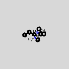 CN1c2ccccc2B2c3cc4c(c5c3N(c3cc(-c6cccc(-c7ccccc7)c6)cc1c32)C1(C)CCCCC51C)CCCC4